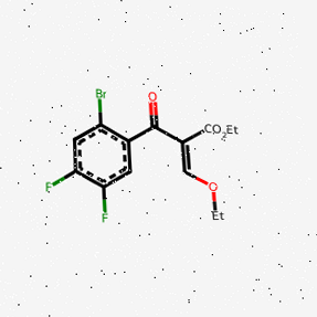 CCOC=C(C(=O)OCC)C(=O)c1cc(F)c(F)cc1Br